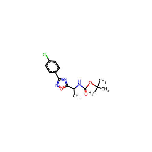 CC(NC(=O)OC(C)(C)C)c1nc(-c2ccc(Cl)cc2)no1